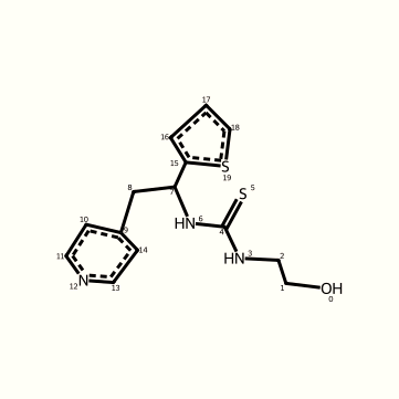 OCCNC(=S)NC(Cc1ccncc1)c1cccs1